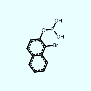 OP(O)Oc1ccc2ccccc2c1Br